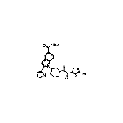 CNC(=O)c1ccc2c(c1)nc(-c1nccs1)n2C1CCCC(NC(=O)c2ccc(Br)s2)C1